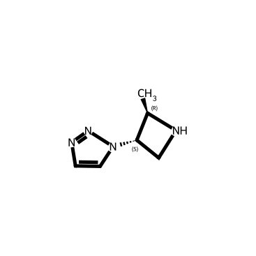 C[C@H]1NC[C@@H]1n1ccnn1